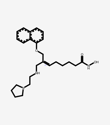 O=C(CCCC/C=C(/CNCCN1CCCC1)COc1cccc2ccccc12)NO